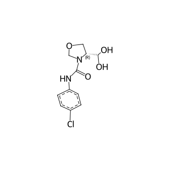 O=C(Nc1ccc(Cl)cc1)N1COC[C@@H]1C(O)O